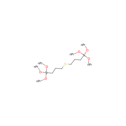 CCCO[Si](CCCSCCC[Si](OCCC)(OCCC)OCCC)(OCCC)OCCC